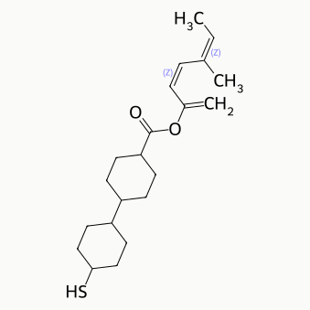 C=C(/C=C\C(C)=C/C)OC(=O)C1CCC(C2CCC(S)CC2)CC1